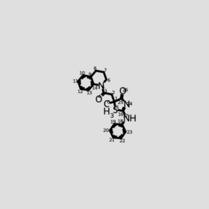 CC1(CC(=O)N2CCCc3ccccc32)SC(Nc2ccccc2)=NC1=O